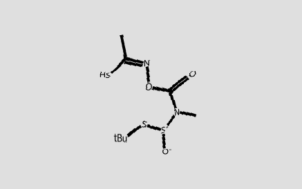 CC(S)=NOC(=O)N(C)[S+]([O-])SC(C)(C)C